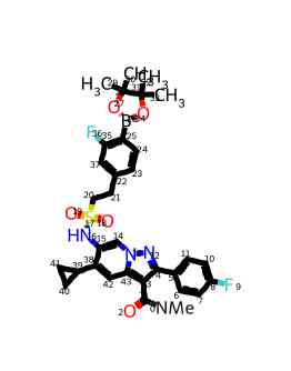 CNC(=O)c1c(-c2ccc(F)cc2)nn2cc(NS(=O)(=O)CCc3ccc(B4OC(C)(C)C(C)(C)O4)c(F)c3)c(C3CC3)cc12